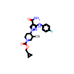 N#CC1CN(C(=O)OCC2CC2)CCC1n1cc(C(N)=O)c(Nc2ccc(F)cc2)n1